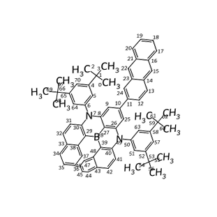 CC(C)(C)c1cc(N2c3cc(-c4ccc5cc6ccccc6cc5c4)cc4c3B(c3c2ccc2ccccc32)c2c(ccc3ccccc23)N4c2cc(C(C)(C)C)cc(C(C)(C)C)c2)cc(C(C)(C)C)c1